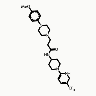 COc1ccc(N2CCN(CCC(=O)NC3CCN(C4=CC=C(C(F)(F)F)CN4)CC3)CC2)cc1